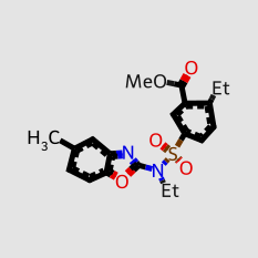 CCc1ccc(S(=O)(=O)N(CC)c2nc3cc(C)ccc3o2)cc1C(=O)OC